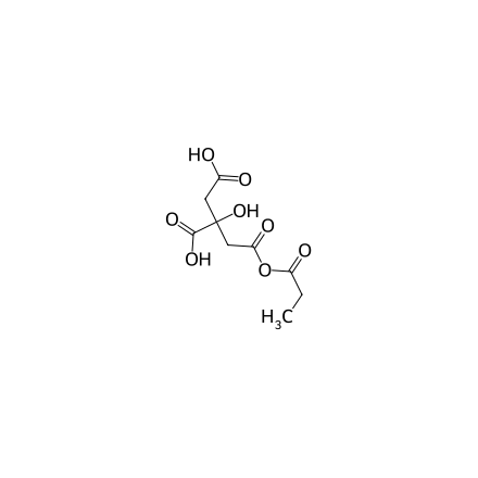 CCC(=O)OC(=O)CC(O)(CC(=O)O)C(=O)O